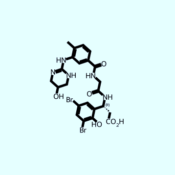 Cc1ccc(C(=O)NCC(=O)N[C@H](CC(=O)O)c2cc(Br)cc(Br)c2O)cc1NC1=NCC(O)CN1